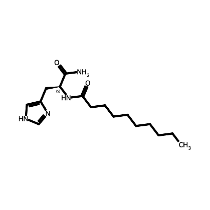 CCCCCCCCCC(=O)N[C@@H](Cc1c[nH]cn1)C(N)=O